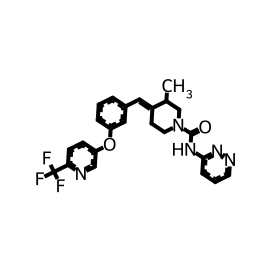 CC1CN(C(=O)Nc2cccnn2)CC/C1=C\c1cccc(Oc2ccc(C(F)(F)F)nc2)c1